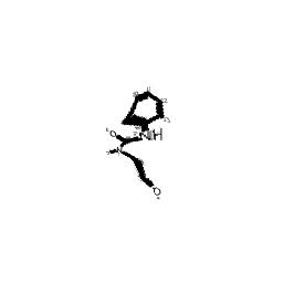 CN(C[C]=O)C(=O)Nc1ccccc1